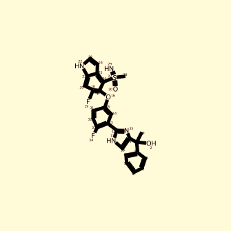 CC(O)(c1ccccc1)c1c[nH]c(-c2cc(Oc3c(F)cc4[nH]ccc4c3S(C)(=N)=O)ccc2F)n1